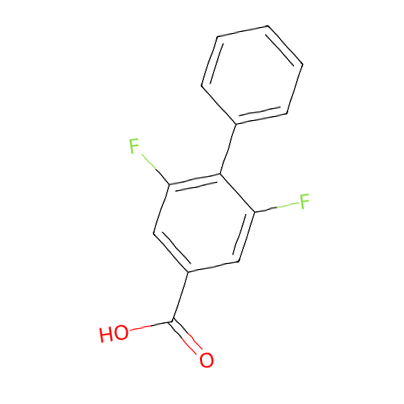 O=C(O)c1cc(F)c(-c2ccccc2)c(F)c1